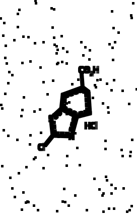 Cl.O=C(O)c1ccc2nc(Cl)sc2c1